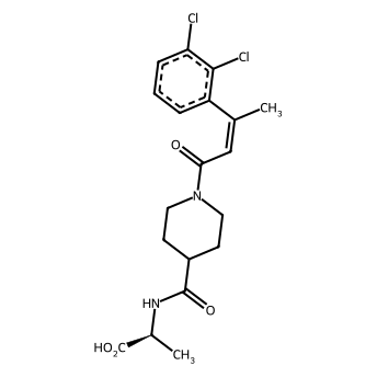 C/C(=C/C(=O)N1CCC(C(=O)N[C@@H](C)C(=O)O)CC1)c1cccc(Cl)c1Cl